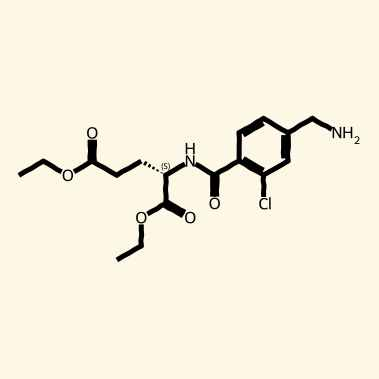 CCOC(=O)CC[C@H](NC(=O)c1ccc(CN)cc1Cl)C(=O)OCC